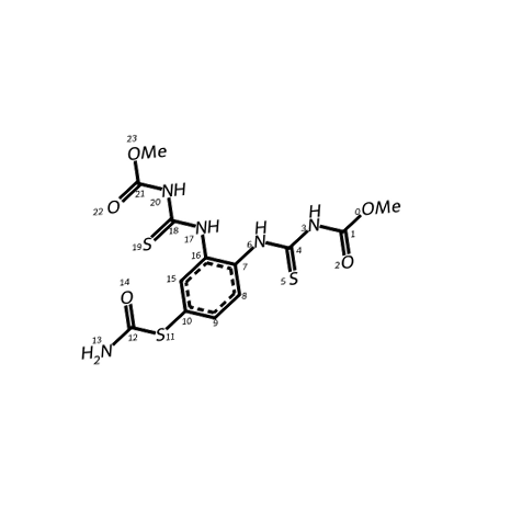 COC(=O)NC(=S)Nc1ccc(SC(N)=O)cc1NC(=S)NC(=O)OC